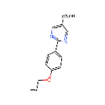 C=CCOc1ccc(-c2ncc(CCCCCCCCC)cn2)cc1